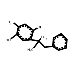 Cc1cc(O)c(C(C)(C)Cc2ccccc2)cc1O